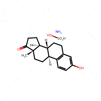 C[C@]12CC[C@@H]3c4ccc(O)cc4CC[C@H]3[C@@H]1CCC2=O.N.O=S(=O)(O)O